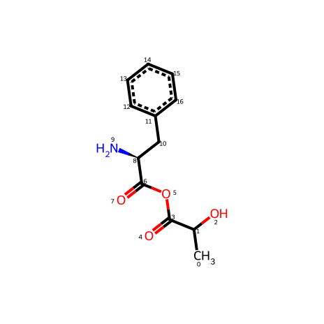 CC(O)C(=O)OC(=O)[C@@H](N)Cc1ccccc1